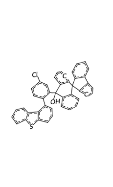 OC1(c2cc(Cl)ccc2-c2cccc3sc4ccccc4c23)c2ccccc2C2(c3ccccc3-c3ccccc32)c2ccccc21